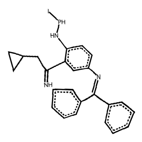 N=C(CC1CC1)c1cc(N=C(c2ccccc2)c2ccccc2)ccc1NPI